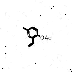 C=Cc1nc(C)ccc1OC(C)=O